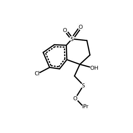 CC(C)OSCC1(O)CCS(=O)(=O)c2ccc(Cl)cc21